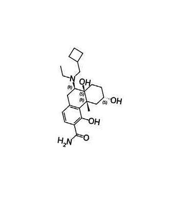 CCN(CC1CCC1)[C@@H]1Cc2ccc(C(N)=O)c(O)c2[C@@]2(C)C[C@@H](O)CC[C@@]12O